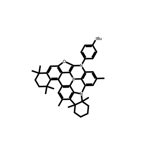 Cc1cc2c3c(c1)N1c4c5c(cc(C)c4C4(C)CCCCC14C)-c1c4c(cc6oc(c(c16)B35)N2c1ccc(C(C)(C)C)cc1)C(C)(C)CCC4(C)C